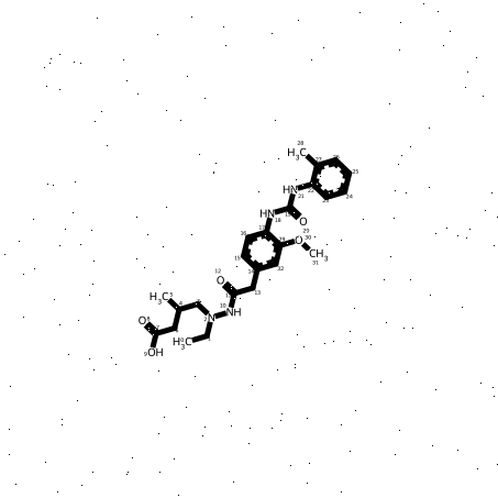 CCN(CC(C)CC(=O)O)NC(=O)Cc1ccc(NC(=O)Nc2ccccc2C)c(OC)c1